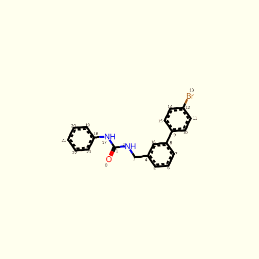 O=C(NCc1cccc(-c2ccc(Br)cc2)c1)Nc1ccccc1